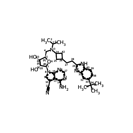 CC(C)N(C[C@H]1O[C@@H](n2cc(C#N)c3c(N)ncnc32)[C@H](O)[C@@H]1O)C1CC(CCc2nc3cc(C(C)(C)C)ccc3[nH]2)C1